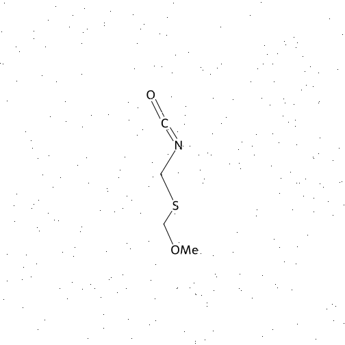 COCSCN=C=O